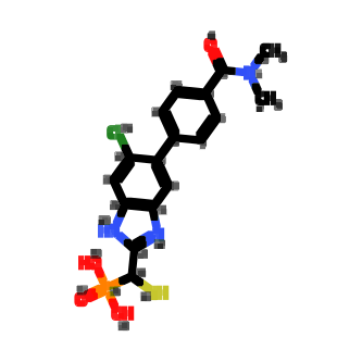 CN(C)C(=O)c1ccc(-c2cc3nc(C(S)P(=O)(O)O)[nH]c3cc2Cl)cc1